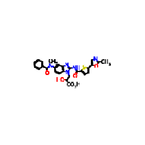 Cc1ncc(-c2ccc(C(=O)Nc3nc4cc(N(C)C(=O)c5ccccc5)ccc4n3CC(O)C(=O)O)s2)o1